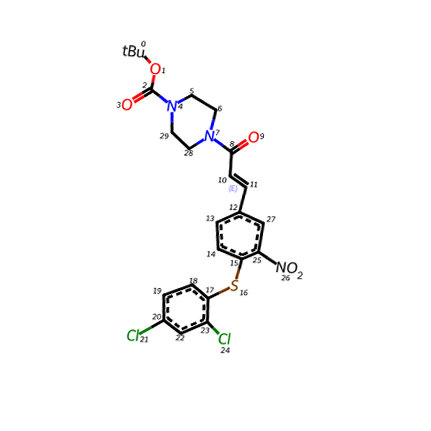 CC(C)(C)OC(=O)N1CCN(C(=O)/C=C/c2ccc(Sc3ccc(Cl)cc3Cl)c([N+](=O)[O-])c2)CC1